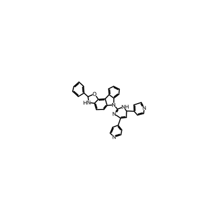 C1=C(c2ccncc2)N=C(n2c3ccccc3c3c4c(ccc32)NC(c2ccccc2)O4)NC1c1ccncc1